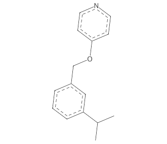 CC(C)c1cccc(COc2ccncc2)c1